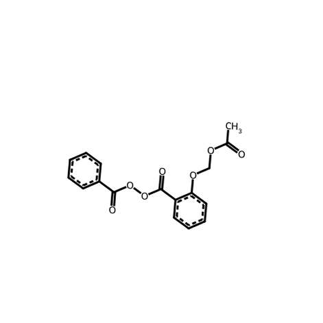 CC(=O)OCOc1ccccc1C(=O)OOC(=O)c1ccccc1